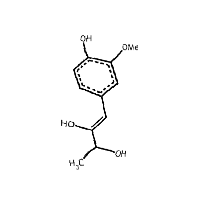 COc1cc(C=C(O)C(C)O)ccc1O